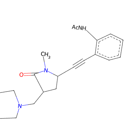 CC(=O)Nc1ccccc1C#CC1CC(CN2CCCCC2)C(=O)N1C